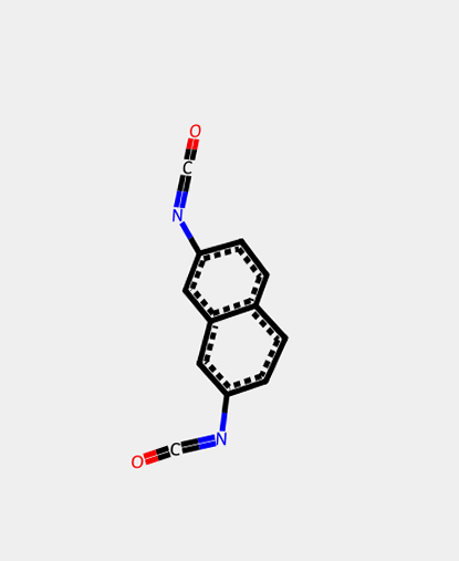 O=C=Nc1ccc2ccc(N=C=O)cc2c1